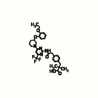 CCOc1ccccc1O[C@@H]1CCCN(c2cc(C(F)(F)F)nc(NC(=O)Cc3ccc(CC(C)(C)C(=O)O)cc3)n2)C1